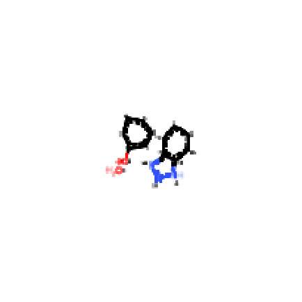 O.Oc1ccccc1.c1ccc2[nH]nnc2c1